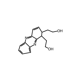 OCCC1C=Cc2nc3ccccc3nc2C1CCO